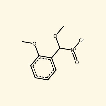 CO[C](c1ccccc1OC)[N+](=O)[O-]